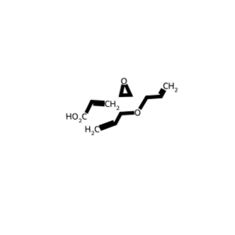 C1CO1.C=CC(=O)O.C=CCOCC=C